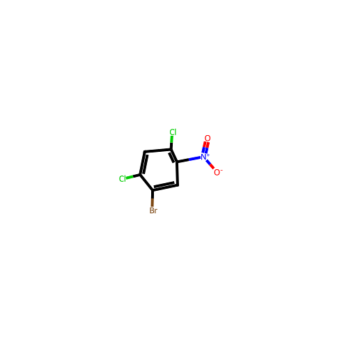 O=[N+]([O-])c1cc(Br)c(Cl)cc1Cl